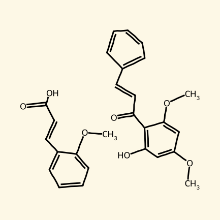 COc1cc(O)c(C(=O)C=Cc2ccccc2)c(OC)c1.COc1ccccc1C=CC(=O)O